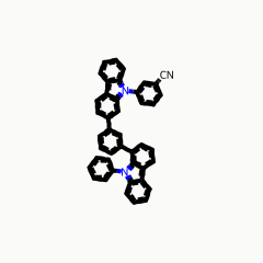 N#Cc1cccc(-n2c3ccccc3c3ccc(-c4cccc(-c5cccc6c7ccccc7n(-c7ccccc7)c56)c4)cc32)c1